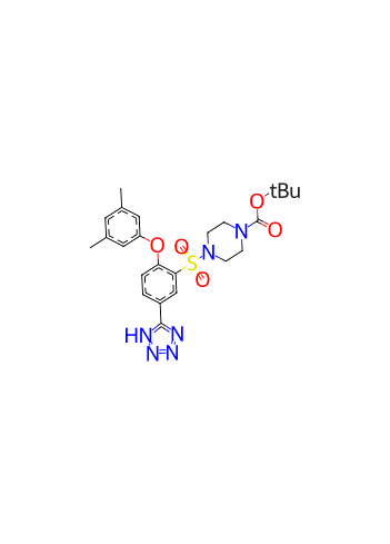 Cc1cc(C)cc(Oc2ccc(-c3nnn[nH]3)cc2S(=O)(=O)N2CCN(C(=O)OC(C)(C)C)CC2)c1